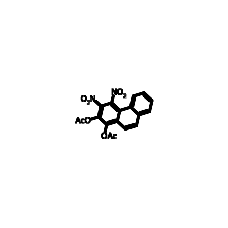 CC(=O)Oc1c([N+](=O)[O-])c([N+](=O)[O-])c2c(ccc3ccccc32)c1OC(C)=O